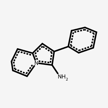 Nc1c(-c2ccccc2)cc2ccccn12